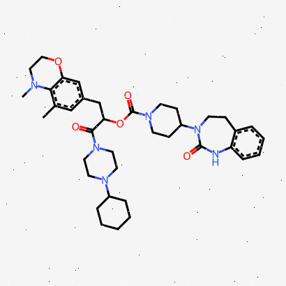 Cc1cc(CC(OC(=O)N2CCC(N3CCc4ccccc4NC3=O)CC2)C(=O)N2CCN(C3CCCCC3)CC2)cc2c1N(C)CCO2